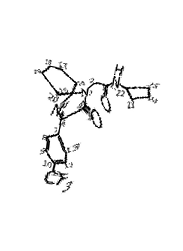 O=C(CN1C(=O)C(c2ccc(C(F)(F)F)cc2)=NC12CCCCC2)NC1CCC1